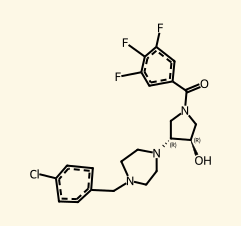 O=C(c1cc(F)c(F)c(F)c1)N1C[C@@H](O)[C@H](N2CCN(Cc3ccc(Cl)cc3)CC2)C1